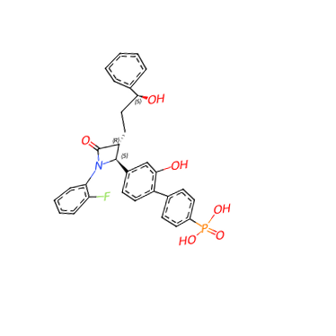 O=C1[C@H](CC[C@H](O)c2ccccc2)[C@@H](c2ccc(-c3ccc(P(=O)(O)O)cc3)c(O)c2)N1c1ccccc1F